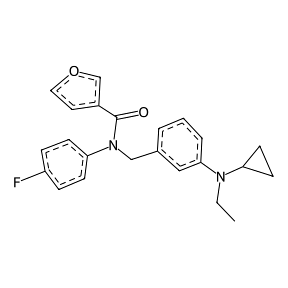 CCN(c1cccc(CN(C(=O)c2ccoc2)c2ccc(F)cc2)c1)C1CC1